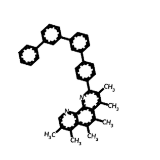 Cc1cnc2c(c1C)c(C)c(C)c1c(C)c(C)c(-c3ccc(-c4cccc(-c5cccc(-c6ccccc6)c5)c4)cc3)nc12